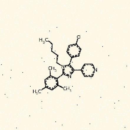 CCCCCn1c(-c2c(C)cc(C)cc2C)nc(-c2ccncc2)c1-c1ccc(Cl)cc1